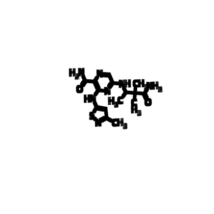 Cc1cc(Nc2nc(NC(C)C(C)(C)C(N)=O)cnc2C(N)=O)sn1